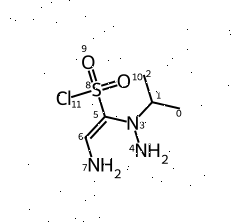 CC(C)N(N)/C(=C\N)S(=O)(=O)Cl